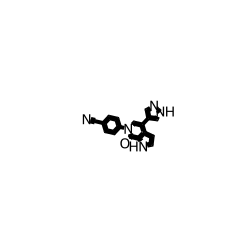 N#Cc1ccc(-n2cc(-c3cn[nH]c3)c3cc[nH]c3c2=O)cc1